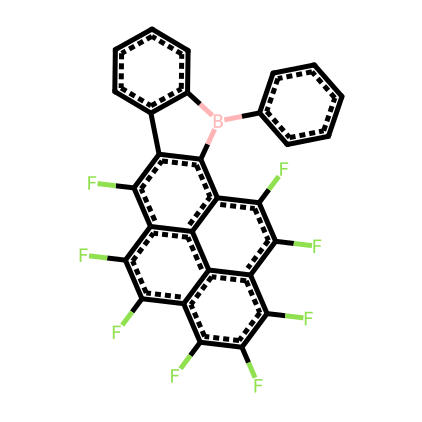 Fc1c(F)c2c(F)c(F)c3c(F)c4c(c5c(F)c(F)c(c1F)c2c35)B(c1ccccc1)c1ccccc1-4